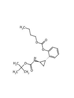 CCCCOC(=O)Oc1ccccc1[C@@H]1C[C@H]1NC(=O)OC(C)(C)C